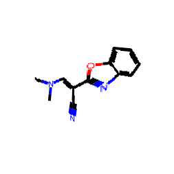 CN(C)C=C(C#N)c1nc2ccccc2o1